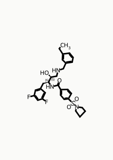 CCc1cccc(CNC[C@H](O)[C@H](Cc2cc(F)cc(F)c2)NC(=O)c2ccc(S(=O)(=O)N3CCCC3)cc2)c1